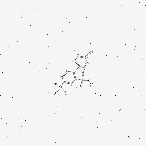 CCS(=O)(=O)c1cc(C(F)(F)F)ccc1-c1ncc(O)cn1